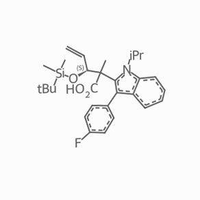 C=C[C@H](O[Si](C)(C)C(C)(C)C)C(C)(C(=O)O)c1c(-c2ccc(F)cc2)c2ccccc2n1C(C)C